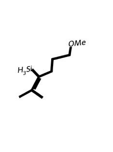 COCCCC([SiH3])=C(C)C